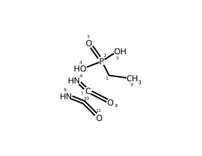 CCP(=O)(O)O.N=C=O.N=C=O